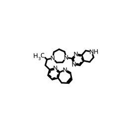 CC(Cc1ccc2c(n1)N=CC#CC2)N1CCCN(c2ncc3c(n2)CNCC3)CC1